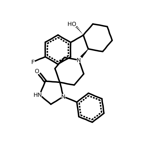 O=C1NCN(c2ccccc2)C12CCN([C@@H]1CCCC[C@]1(O)c1ccc(F)cc1)CC2